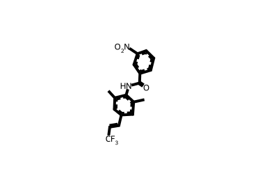 Cc1cc(C=CC(F)(F)F)cc(C)c1NC(=O)c1cccc([N+](=O)[O-])c1